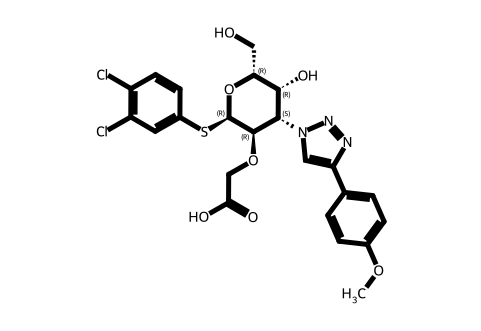 COc1ccc(-c2cn([C@H]3[C@@H](O)[C@@H](CO)O[C@H](Sc4ccc(Cl)c(Cl)c4)[C@@H]3OCC(=O)O)nn2)cc1